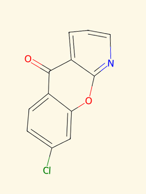 O=c1c2ccc(Cl)cc2oc2ncccc12